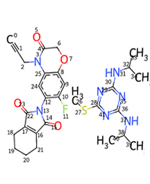 C#CCN1C(=O)COc2cc(F)c(N3C(=O)C4=C(CCCC4)C3=O)cc21.CSc1nc(NC(C)C)nc(NC(C)C)n1